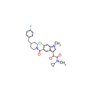 CN(C(=O)C(=O)c1cn(C)c2cc(Cl)c(C(=O)N3CCC(Cc4ccc(F)cc4)CC3)cc12)C1CC1